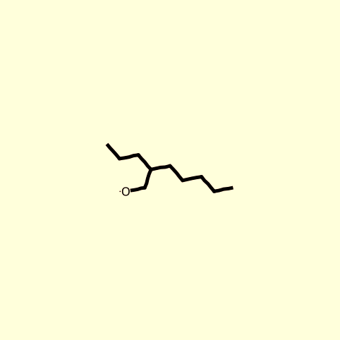 CCCCCC(C[O])CCC